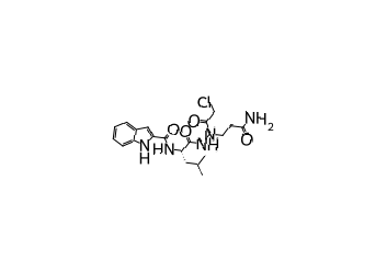 CC(C)C[C@H](NC(=O)c1cc2ccccc2[nH]1)C(=O)NN(CCC(N)=O)C(=O)CCl